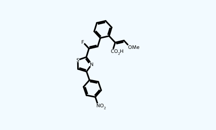 CO/C=C(\C(=O)O)c1ccccc1/C=C(\F)c1nc(-c2ccc([N+](=O)[O-])cc2)cs1